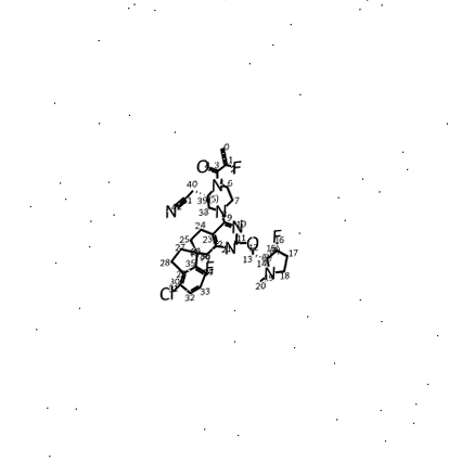 C=C(F)C(=O)N1CCN(c2nc(OC[C@@H]3[C@H](F)CCN3C)nc3c2CC[C@@]2(CCc4c(Cl)cccc42)[C@H]3F)C[C@@H]1CC#N